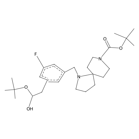 CC(C)(C)OC(=O)N1CCC2(CCCN2Cc2cc(F)cc(CC(O)OC(C)(C)C)c2)CC1